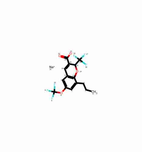 CCCc1cc(OC(F)(F)F)cc2c1OC(C(F)(F)F)C(C(=O)[O-])=C2.[Na+]